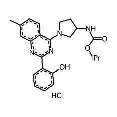 Cc1ccc2c(N3CCC(NC(=O)OC(C)C)C3)nc(-c3ccccc3O)nc2c1.Cl